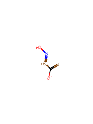 ON=[SH]C(O)=S